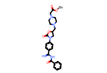 CC(C)(C)OC(=O)CN1CCN(CC2CN(c3ccc(C(=N)NC(=O)c4ccccc4)cc3)C(=O)O2)CC1